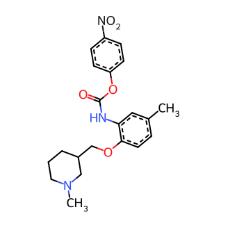 Cc1ccc(OCC2CCCN(C)C2)c(NC(=O)Oc2ccc([N+](=O)[O-])cc2)c1